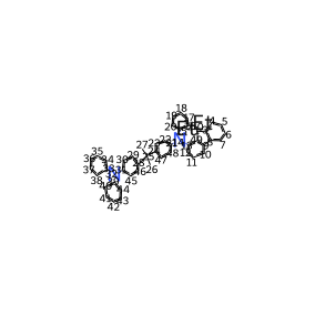 CCC1(CC)c2ccccc2-c2cccc(N(c3ccccc3)c3ccc(C(C)(C)c4ccc(N(c5ccccc5)c5ccccc5)cc4)cc3)c21